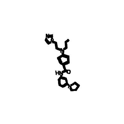 CCCN(CCn1ccnc1)c1ccc(C(=O)Nc2cccc(N3CCCC3)c2)cc1